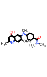 COc1cc2nc(C)cc(O)c2cc1N(C)C1CCC(C(=O)N(C)C)CC1